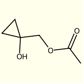 CC(=O)OCC1(O)CC1